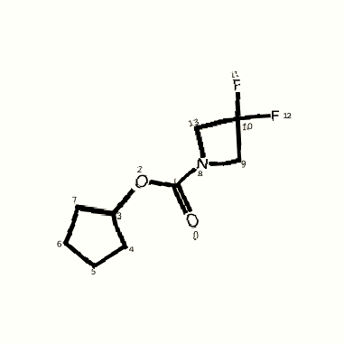 O=C(OC1CCCC1)N1CC(F)(F)C1